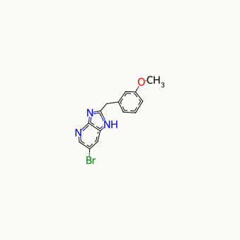 COc1cccc(Cc2nc3ncc(Br)cc3[nH]2)c1